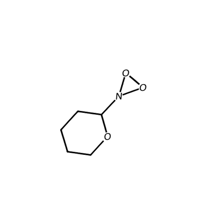 C1CCC(n2oo2)OC1